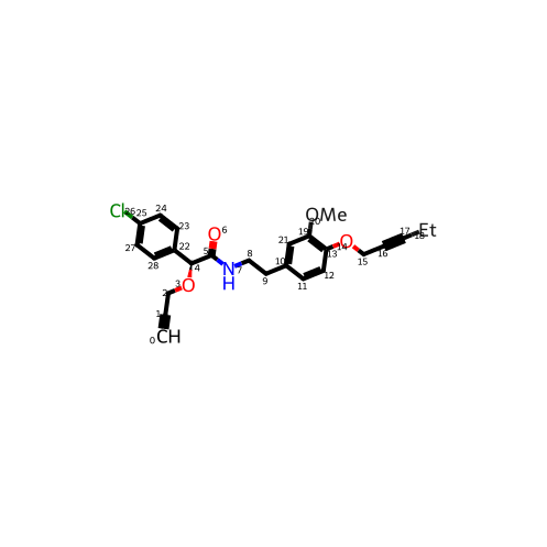 C#CCO[C@H](C(=O)NCCc1ccc(OCC#CCC)c(OC)c1)c1ccc(Cl)cc1